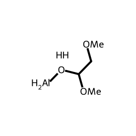 COCC(OC)[O][AlH2].[HH]